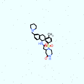 Cc1ccc(S(=O)(=O)N2CCNC(=O)CC2CC(=O)N[C@@H]2CCCc3cc(CN4CCCCC4)ccc32)cc1